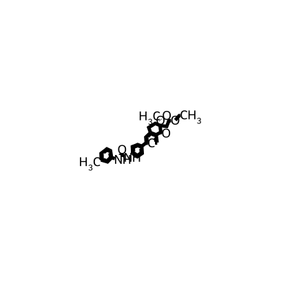 CCOC(=O)CC1(OC)CCc2cc(-c3ccc(NC(=O)Nc4cccc(C)c4)cc3)ccc2C1=O